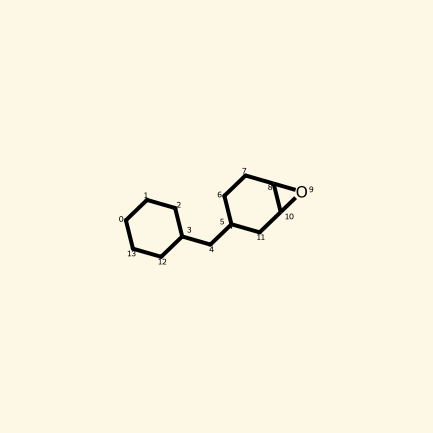 C1CCC(C[C]2CCC3OC3C2)CC1